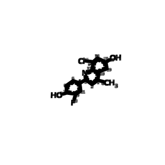 Cc1cc(-c2ccc(O)c(F)c2)nc2c(Cl)cc(O)cc12